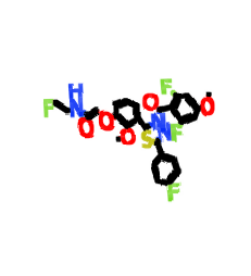 COc1cc(F)c(C(=O)N2N=C(c3ccc(F)cc3)SC2c2cccc(OCC(=O)NCCF)c2OC)c(F)c1